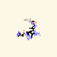 Cc1cc(C2=N[C@H](C(=O)O)CO2)ncc1-c1cc2cc(NC(=O)[C@H]3C[C@@H]3c3cnn(C)c3)ncc2c(N)n1